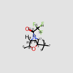 C[C@@H]1OC2(C(C)(C)C)C[C@H]1N(C(=O)C(F)(F)F)C2